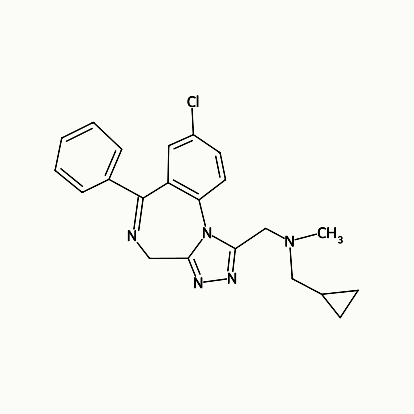 CN(Cc1nnc2n1-c1ccc(Cl)cc1C(c1ccccc1)=NC2)CC1CC1